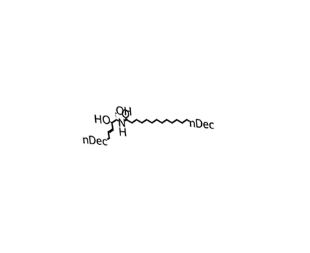 CCCCCCCCCCC/C=C/[C@@H](O)[C@H](CO)NC(=O)CCCCCCCCCCCCCCCCCCCCCC